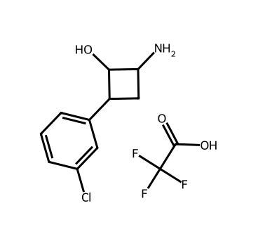 NC1CC(c2cccc(Cl)c2)C1O.O=C(O)C(F)(F)F